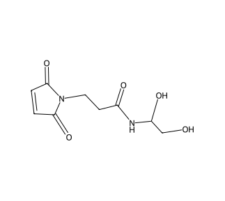 O=C(CCN1C(=O)C=CC1=O)NC(O)CO